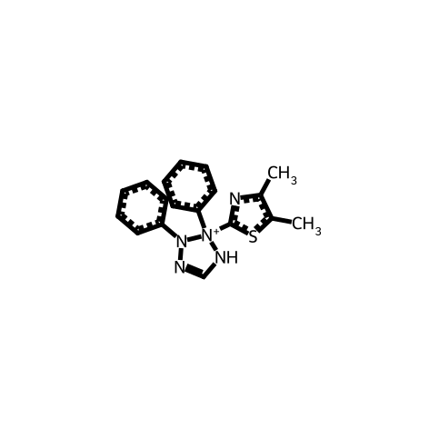 Cc1nc([N+]2(c3ccccc3)NC=NN2c2ccccc2)sc1C